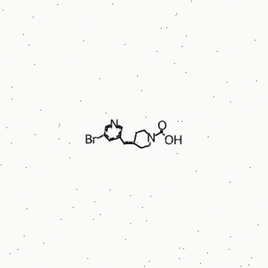 O=C(O)N1CCC(=Cc2cncc(Br)c2)CC1